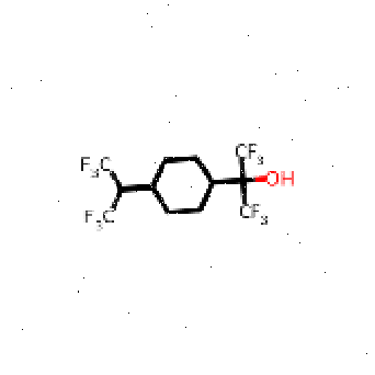 OC(C1CCC(C(C(F)(F)F)C(F)(F)F)CC1)(C(F)(F)F)C(F)(F)F